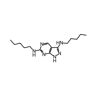 CCCCCNc1ncc2c(NCCCCC)n[nH]c2n1